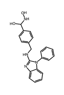 ONC(O)c1ccc(CNc2nc3ccccc3n2-c2ccccc2)cc1